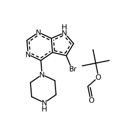 Brc1c[nH]c2ncnc(N3CCNCC3)c12.CC(C)(C)OC=O